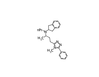 CCCN(C(C)CCc1nnc(-c2ccccc2)n1C)C1Cc2ccccc2C1